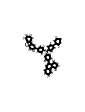 c1ccc(-c2ccc(N(c3ccc(-c4ccc5oc6ccccc6c5c4)cc3)c3ccc(-c4cc5ccccc5c5ccccc45)cc3)cc2)cc1